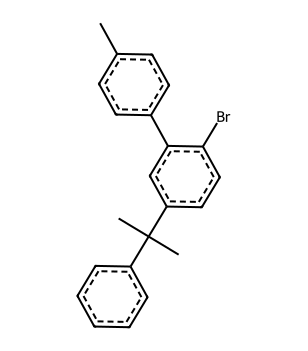 Cc1ccc(-c2cc(C(C)(C)c3ccccc3)ccc2Br)cc1